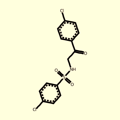 O=C(CNS(=O)(=O)c1ccc(Cl)cc1)c1ccc(Cl)cc1